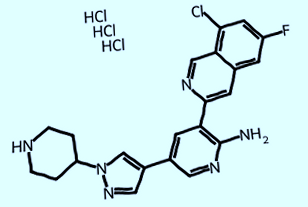 Cl.Cl.Cl.Nc1ncc(-c2cnn(C3CCNCC3)c2)cc1-c1cc2cc(F)cc(Cl)c2cn1